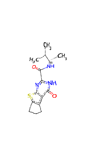 CC(C)[C@H](C)NC(=O)c1nc2sc3c(c2c(=O)[nH]1)CCC3